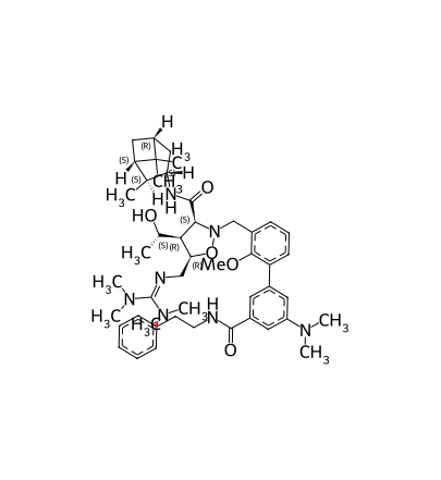 COc1c(CN2O[C@@H](CN=C(N(C)C)N(C)C)[C@@H]([C@H](C)O)[C@H]2C(=O)N[C@H]2C[C@H]3C[C@@H]([C@@H]2C)C3(C)C)cccc1-c1cc(C(=O)NCCc2ccccc2)cc(N(C)C)c1